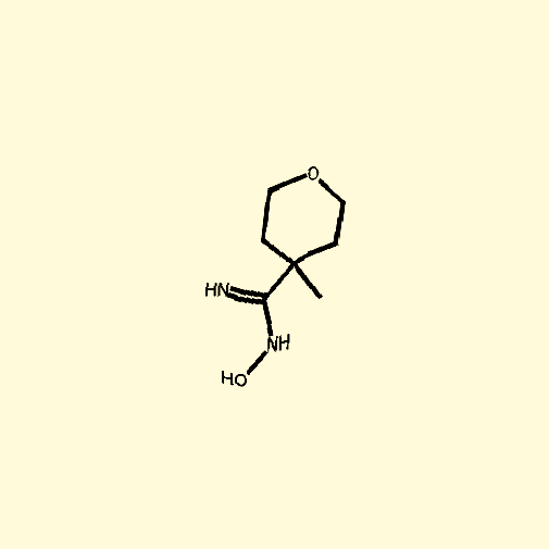 CC1(C(=N)NO)CCOCC1